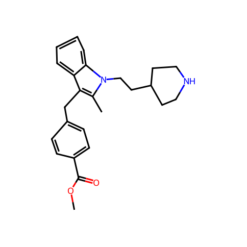 COC(=O)c1ccc(Cc2c(C)n(CCC3CCNCC3)c3ccccc23)cc1